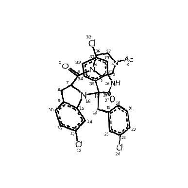 CC(=O)N1CCN(C(=O)C2Cc3ccc(Cl)cc3N2C2(Cc3cccc(Cl)c3)C(=O)Nc3cc(Cl)ccc32)CC1